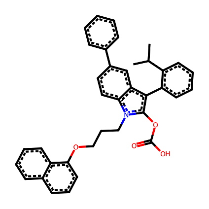 CC(C)c1ccccc1-c1c(OC(=O)O)n(CCCOc2cccc3ccccc23)c2ccc(-c3ccccc3)cc12